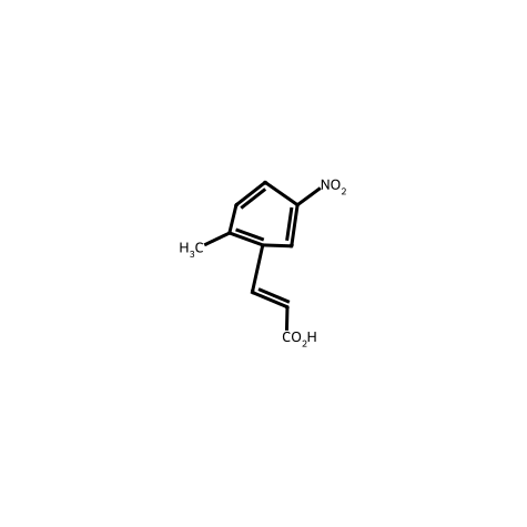 Cc1ccc([N+](=O)[O-])cc1/C=C/C(=O)O